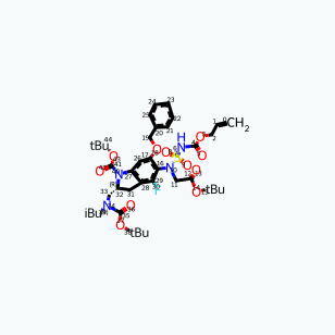 C=CCOC(=O)NS(=O)(=O)N(CC(=O)OC(C)(C)C)c1c(OCc2ccccc2)cc2c(c1F)C[C@H](CN(C(=O)OC(C)(C)C)[C@H](C)CC)N2C(=O)OC(C)(C)C